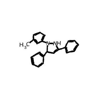 Cc1cccc(N2NC(c3ccccc3)=CC2c2ccccc2)c1